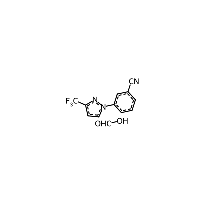 N#Cc1cccc(-n2ccc(C(F)(F)F)n2)c1.O=CO